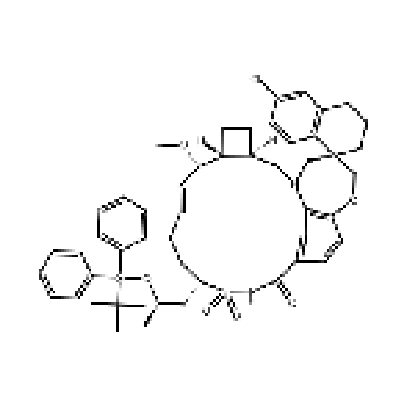 CO[C@H]1/C=C/CC[C@@H](C[C@@H](C)O[Si](c2ccccc2)(c2ccccc2)C(C)(C)C)S(=O)(=O)NC(=O)c2ccc3c(c2)N(C[C@@H]2CC[C@H]21)C[C@@]1(CCCc2cc(Cl)ccc21)CO3